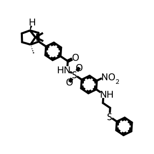 CC1(C)[C@H]2C=C(c3ccc(C(=O)NS(=O)(=O)c4ccc(NCCSc5ccccc5)c([N+](=O)[O-])c4)cc3)[C@@]1(C)CC2